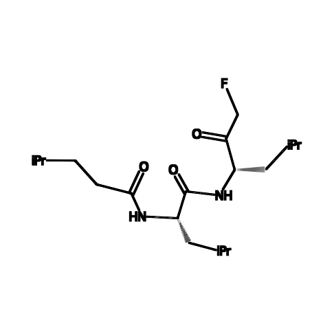 CC(C)CCC(=O)N[C@@H](CC(C)C)C(=O)N[C@@H](CC(C)C)C(=O)CF